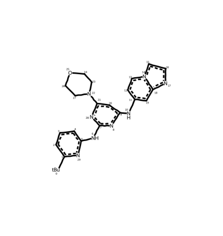 CC(C)(C)c1cccc(Nc2nc(Nc3ccn4ccnc4c3)cc(N3CCOCC3)n2)n1